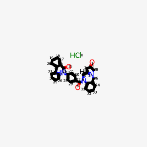 Cl.O=C1C[C@@H]2CN(C(=O)c3ccc(NC(=O)c4ccccc4-c4ccccc4)cc3)c3ccccc3CN2C1